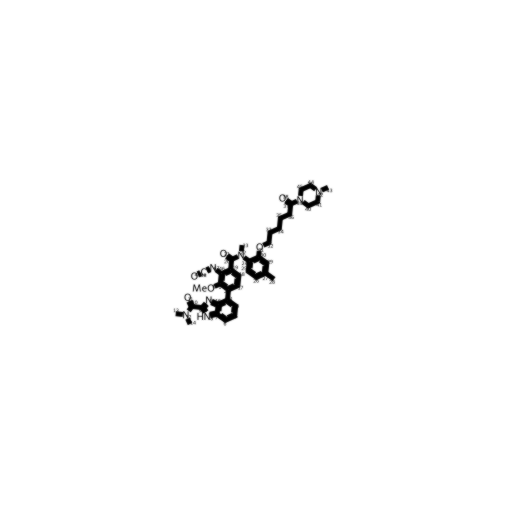 COc1c(-c2cccc3[nH]c(C(=O)N(C)C)nc23)ccc(C(=O)N(C)c2ccc(C)cc2OCCCCCC(=O)N2CCN(C)CC2)c1N=C=O